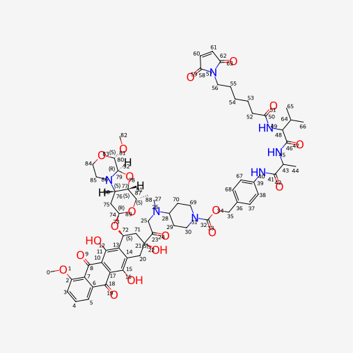 COc1cccc2c1C(=O)c1c(O)c3c(c(O)c1C2=O)C[C@@](O)(C(=O)CN(C)C1CCN(C(=O)OCc2ccc(NC(=O)C(C)NC(=O)C(NC(=O)CCCCCN4C(=O)C=CC4=O)C(C)C)cc2)CC1)C[C@@H]3O[C@H]1C[C@H]2[C@H](O[C@@H]3[C@@H](OC)OCCN32)[C@H](C)O1